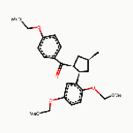 COCOc1ccc(C(=O)[C@H]2C[C@@H](C)C[C@H]2c2cc(OCOC)ccc2OCOC)cc1